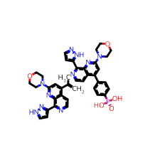 C=C(C)c1cc(N2CCOCC2)nc2c(-c3cc[nH]n3)nccc12.O=P(O)(O)c1ccc(-c2cc(N3CCOCC3)nc3c(-c4ccn[nH]4)nccc23)cc1